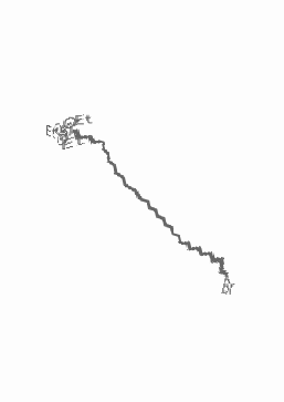 CCO[Si](CCCCCCCCCCCCCCCCCCCCCCCCCCCCCCCCCBr)(OCC)OCC